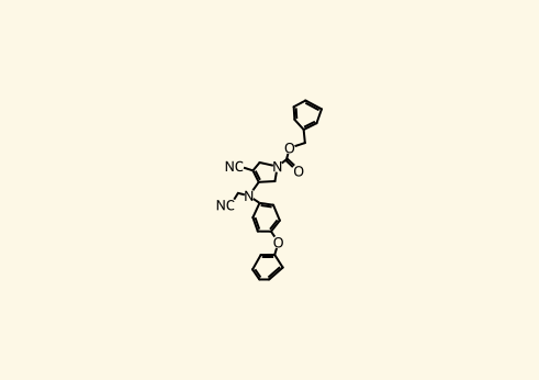 N#CCN(C1=C(C#N)CN(C(=O)OCc2ccccc2)C1)c1ccc(Oc2ccccc2)cc1